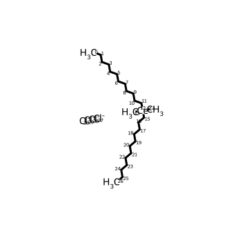 CCCCCCCCCCC[CH2][Ce]([CH3])([CH3])[CH2]CCCCCCCCCCC.[Cl-].[Cl-].[Cl-].[Cl-]